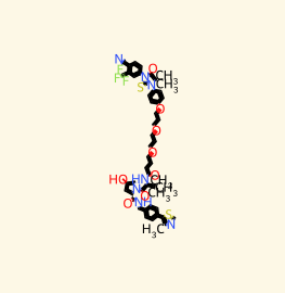 Cc1ncsc1-c1ccc(CNC(=O)[C@@H]2C[C@@H](O)CN2C(=O)C(NC(=O)CCCOCCCOCCCOc2ccc(N3C(=S)N(c4ccc(C#N)c(C(F)(F)F)c4)C(=O)C3(C)C)cc2)C(C)(C)C)cc1